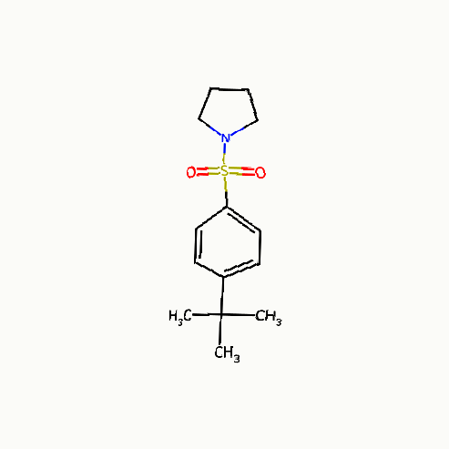 CC(C)(C)c1ccc(S(=O)(=O)N2CCCC2)cc1